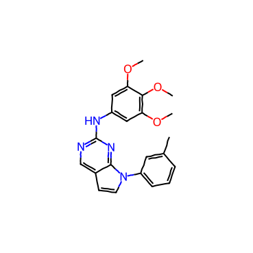 COc1cc(Nc2ncc3ccn(-c4cccc(C)c4)c3n2)cc(OC)c1OC